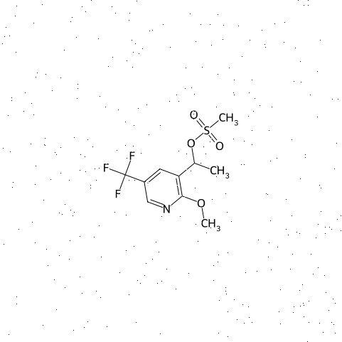 COc1ncc(C(F)(F)F)cc1C(C)OS(C)(=O)=O